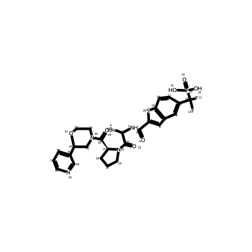 CC(C)(C)C(NC(=O)c1cc2cc(C(F)(F)P(=O)(O)O)ccc2s1)C(=O)N1CCC[C@H]1C(=O)N1CCOC(c2cccnc2)C1